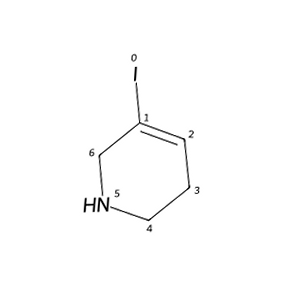 IC1=CCCNC1